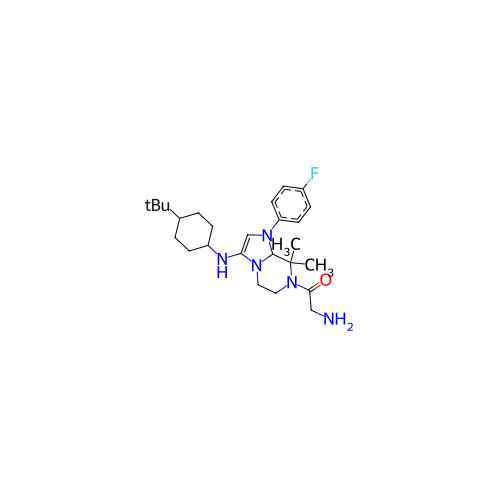 CC(C)(C)C1CCC(NC2=CN(c3ccc(F)cc3)C3N2CCN(C(=O)CN)C3(C)C)CC1